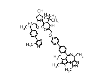 Cc1ncsc1-c1ccc(C(C)NC(=O)[C@@H]2C[C@@H](O)CN2C(=O)C(NC(=O)COc2ccc(-c3ccc(C4=N[C@@H](C)c5nnc(C)n5-c5sc(C)c(C)c54)cc3)cc2)C(C)(C)C)cc1